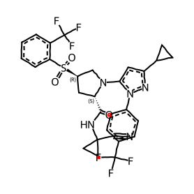 N#CC1(NC(=O)[C@@H]2C[C@@H](S(=O)(=O)c3ccccc3C(F)(F)F)CN2c2cc(C3CC3)nn2-c2ccc(C(F)(F)F)cc2)CC1